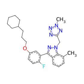 Cc1cccc2c(-c3cc(OCCCC4CCCCC4)ccc3F)nn(Cc3nnn(C)n3)c12